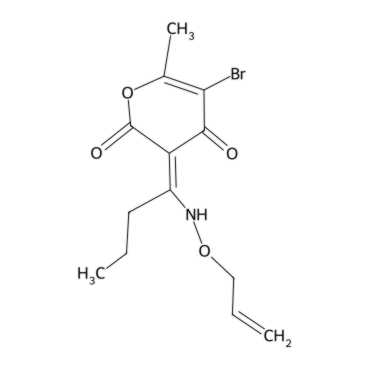 C=CCONC(CCC)=C1C(=O)OC(C)=C(Br)C1=O